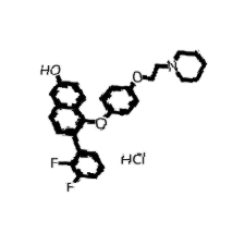 Cl.Oc1ccc2c(Oc3ccc(OCCN4CCCCC4)cc3)c(-c3cccc(F)c3F)ccc2c1